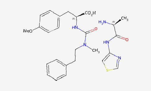 COc1ccc(C[C@H](NC(=O)N(C)CCc2ccccc2)C(=O)O)cc1.C[C@H](N)C(=O)Nc1cscn1